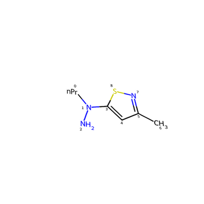 CCCN(N)c1cc(C)ns1